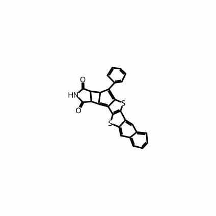 O=C1NC(=O)C2C1C1=c3c(sc4c3sc3cc5ccccc5cc34)=C(c3ccccc3)C12